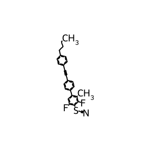 CCCCc1ccc(C#Cc2ccc(-c3cc(F)c(SC#N)c(F)c3C)cc2)cc1